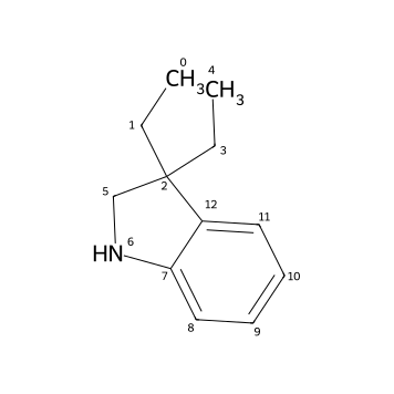 CCC1(CC)CNc2ccccc21